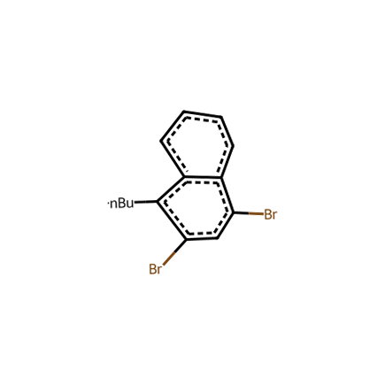 CCC[CH]c1c(Br)cc(Br)c2ccccc12